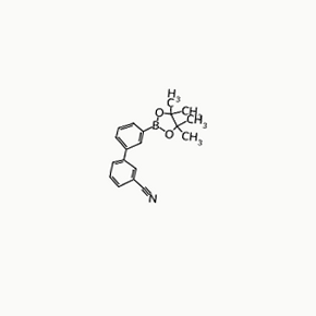 CC1(C)OB(c2cccc(-c3cccc(C#N)c3)c2)OC1(C)C